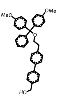 COc1ccc(C(OCCc2ccc(-c3ccc(CO)cc3)cc2)(c2ccccc2)c2ccc(OC)cc2)cc1